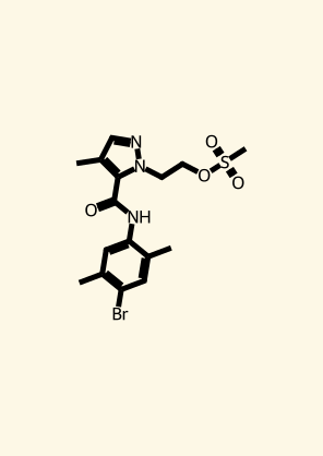 Cc1cc(NC(=O)c2c(C)cnn2CCOS(C)(=O)=O)c(C)cc1Br